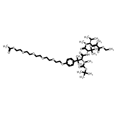 CCOC(=O)/C(C)=C/[C@H](C(C)C)N(C)C(=O)[C@@H](NC(=O)[C@@H](N(C)C(=O)OC(C)(C)C)C(C)(C)c1ccc(OCCOCCOCCOCCOCCSC(C)=O)cc1)C(C)(C)C